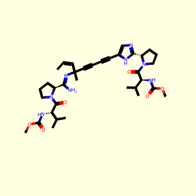 C/C=C\C(C)(C#CC#Cc1cnc([C@@H]2CCCN2C(=O)[C@@H](NC(=O)OC)C(C)C)[nH]1)/N=C(\N)[C@@H]1CCCN1C(=O)[C@@H](NC(=O)OC)C(C)C